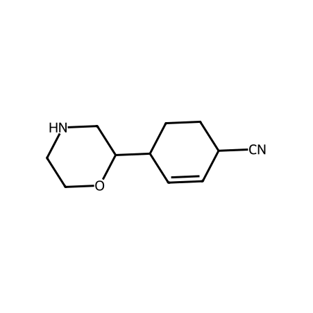 N#CC1C=CC(C2CNCCO2)CC1